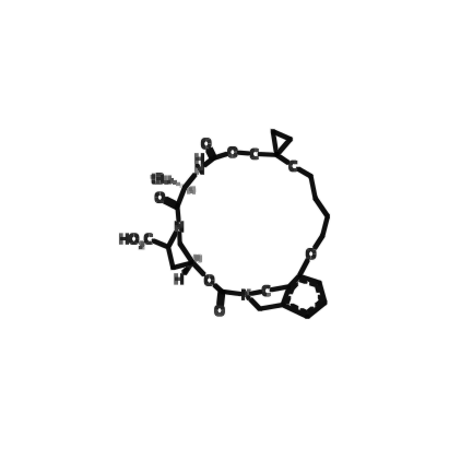 CC(C)(C)[C@@H]1NC(=O)OCC2(CCCCCOc3cccc4c3CN(C4)C(=O)O[C@@H]3CC(C(=O)O)N(C3)C1=O)CC2